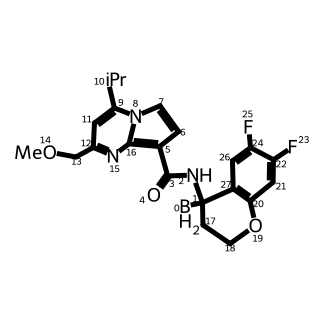 BC1(NC(=O)c2ccn3c(C(C)C)cc(COC)nc23)CCOc2cc(F)c(F)cc21